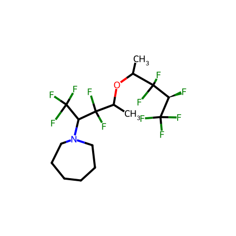 CC(OC(C)C(F)(F)[C@@H](F)C(F)(F)F)C(F)(F)C(N1CCCCCC1)C(F)(F)F